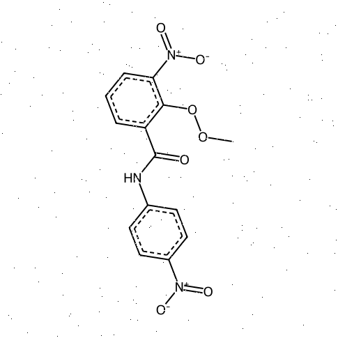 COOc1c(C(=O)Nc2ccc([N+](=O)[O-])cc2)cccc1[N+](=O)[O-]